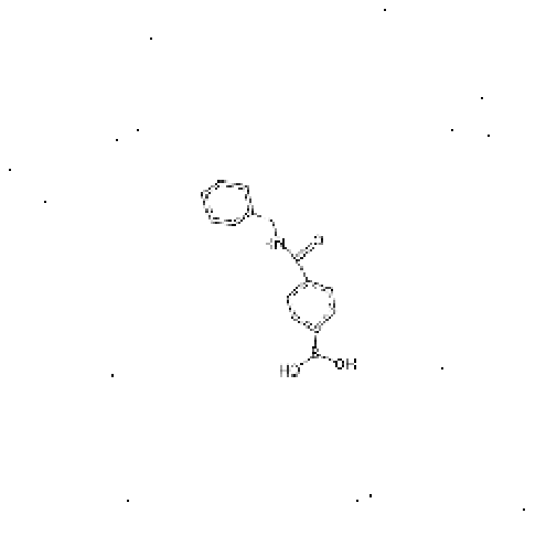 O=C(NCc1ccccc1)c1ccc(B(O)O)cc1